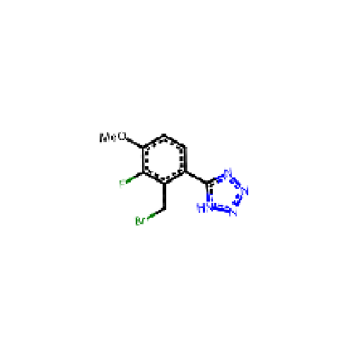 COc1ccc(-c2nnn[nH]2)c(CBr)c1F